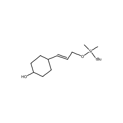 CC(C)(C)[Si](C)(C)OCC=CC1CCC(O)CC1